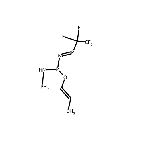 CC=COP(N=PC(F)(F)C(F)(F)F)NP